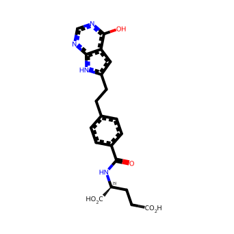 O=C(O)CC[C@H](NC(=O)c1ccc(CCc2cc3c(O)ncnc3[nH]2)cc1)C(=O)O